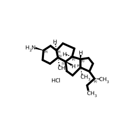 CC[C@@H](C)C1CC[C@H]2[C@@H]3CC[C@@H]4C[C@H](N)CC[C@]4(C)[C@H]3CC[C@]12C.Cl